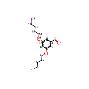 O=Cc1cc(OCCCCI)cc(OCCCCI)c1